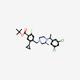 CC(c1cc(Cl)cc(Cl)c1)N1CCN(Cc2cc(F)c(C(=O)OC(C)(C)C)cc2C2CC2)C[C@@H]1C